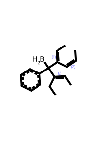 BC(C(/C=C\C)=C/C)(/C(=C/C)CC)c1ccccc1